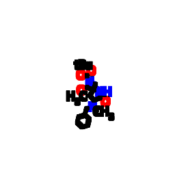 C[C@@H]1[C@H](N(C)Cc2ccccc2)C(=O)NC12CN(C(=O)OC(C)(C)C)C2=O